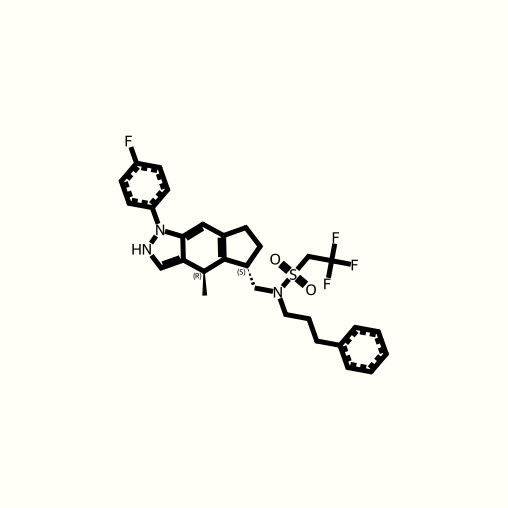 C[C@H]1C2=CNN(c3ccc(F)cc3)C2=CC2=C1[C@@H](CN(CCCc1ccccc1)S(=O)(=O)CC(F)(F)F)CC2